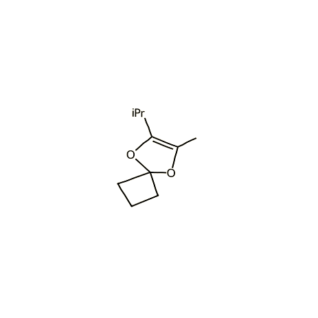 CC1=C(C(C)C)OC2(CCC2)O1